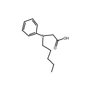 CCCCCN(CC(=O)O)c1ccccc1